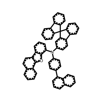 c1ccc2c(c1)-c1ccccc1C21c2ccccc2-c2ccc(N(c3ccc(-c4cccc5ccccc45)cc3)c3cccc4c3oc3c5ccccc5ccc43)cc21